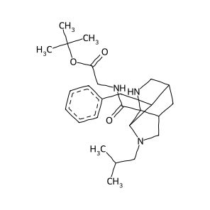 CC(C)CN1CC2CC3CNC2(C(=O)NCC(=O)OC(C)(C)C)C1C3Cc1ccccc1